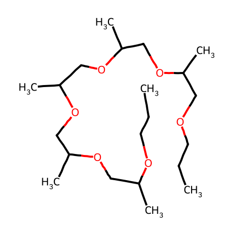 CCCOCC(C)OCC(C)OCC(C)OCC(C)OCC(C)OCCC